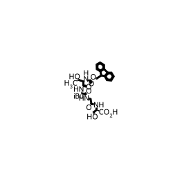 CC[C@@H](C)[C@@H](NC(=O)[C@H](NC(=O)OCC1c2ccccc2-c2ccccc21)[C@H](C)O)C(=O)NCC(=O)N[C@H](CO)C(=O)O